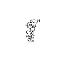 CC1(COc2cc(F)c(NC3CCCC3C(=O)O)cc2Cl)C[C@@H]2CC[C@@H](C2)C1